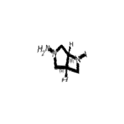 NN1C[C@H]2CN(I)[C@H]2C1